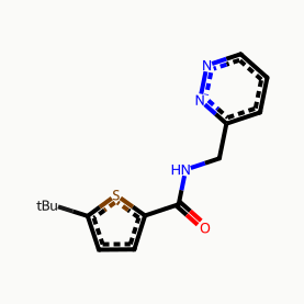 CC(C)(C)c1ccc(C(=O)NCc2cccnn2)s1